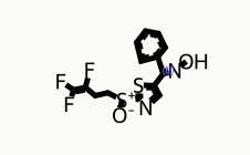 [O-][S+](CCC(F)=C(F)F)c1ncc(/C(=N/O)c2ccccc2)s1